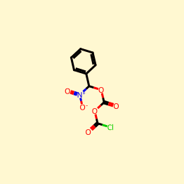 O=C(Cl)OC(=O)OC(c1ccccc1)[N+](=O)[O-]